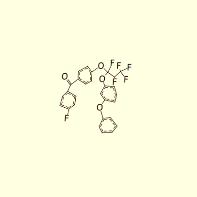 O=C(c1ccc(F)cc1)c1ccc(OC(F)(Oc2cccc(Oc3ccccc3)c2)C(F)C(F)(F)F)cc1